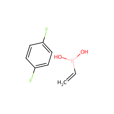 C=CB(O)O.Fc1ccc(F)cc1